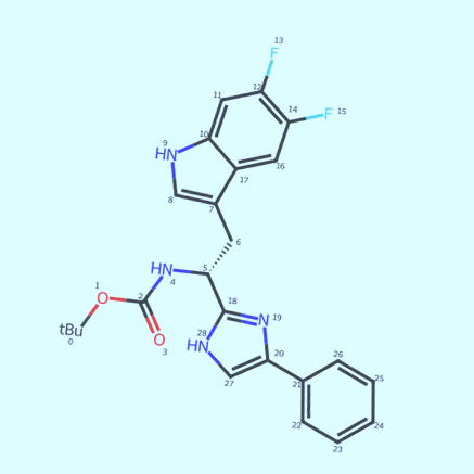 CC(C)(C)OC(=O)N[C@H](Cc1c[nH]c2cc(F)c(F)cc12)c1nc(-c2ccccc2)c[nH]1